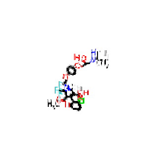 COC(=O)C1=C(C(F)(F)F)N(CCOc2ccc(OCC(O)CNC(C)C)cc2)C(C)C(C(=O)O)=C1c1ccccc1Cl